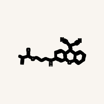 C=C(C)C(=O)OCCCNc1ccc2c(c1)Oc1ccccc1C2=C(C#N)C#N